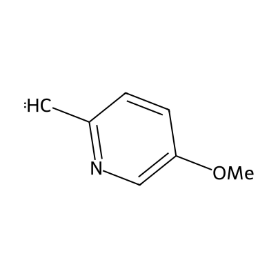 [CH]c1ccc(OC)cn1